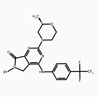 CC(C)N1Cc2c(Nc3ccc(C(F)(F)C(F)(F)F)cc3)nc(N3CCO[C@H](C)C3)nc2C1=O